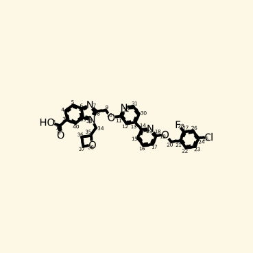 O=C(O)c1ccc2nc(COc3cc(-c4cccc(OCc5ccc(Cl)cc5F)n4)ccn3)n(CC3CCO3)c2c1